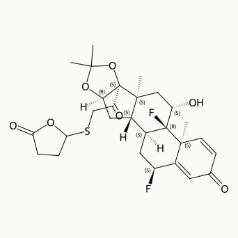 CC1(C)O[C@@H]2C[C@H]3[C@@H]4C[C@H](F)C5=CC(=O)C=C[C@]5(C)[C@@]4(F)[C@@H](O)C[C@]3(C)[C@]2(C(=O)CSC2CCC(=O)O2)O1